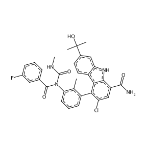 CNC(=O)N(C(=O)c1cccc(F)c1)c1cccc(-c2c(Cl)cc(C(N)=O)c3[nH]c4cc(C(C)(C)O)ccc4c23)c1C